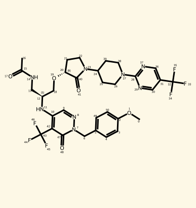 COc1ccc(Cn2ncc(N[C@@H](CNC(C)=O)CO[C@@H]3CCN(C4CCN(c5ncc(C(F)(F)F)cn5)CC4)C3=O)c(C(F)(F)F)c2=O)cc1